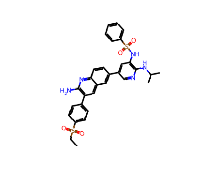 CCS(=O)(=O)c1ccc(-c2cc3cc(-c4cnc(NC(C)C)c(NS(=O)(=O)c5ccccc5)c4)ccc3nc2N)cc1